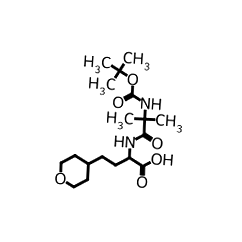 CC(C)(C)OC(=O)NC(C)(C)C(=O)NC(CCC1CCOCC1)C(=O)O